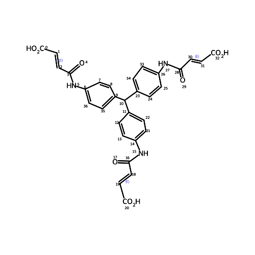 O=C(O)/C=C/C(=O)Nc1ccc(C(c2ccc(NC(=O)/C=C/C(=O)O)cc2)c2ccc(NC(=O)/C=C/C(=O)O)cc2)cc1